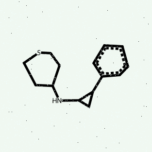 c1ccc(C2CC2NC2CCSCC2)cc1